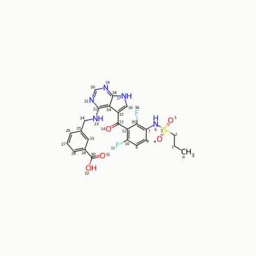 CCCS(=O)(=O)Nc1ccc(F)c(C(=O)c2c[nH]c3ncnc(NCc4cccc(C(=O)O)c4)c23)c1F